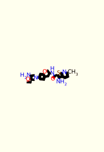 Cc1ccc2c(N)c(C(=O)N[C@H]3COc4cc(N5C[C@H](N)[C@]6(CCO6)C5)ccc4C3)sc2n1